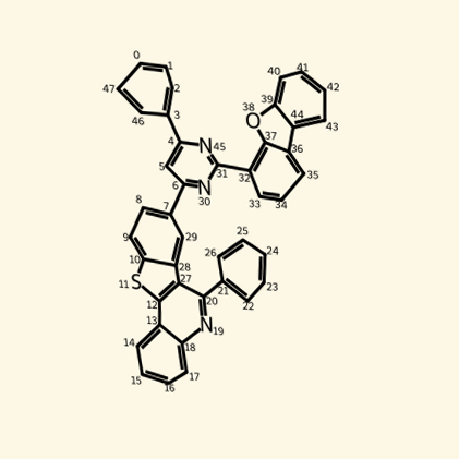 c1ccc(-c2cc(-c3ccc4sc5c6ccccc6nc(-c6ccccc6)c5c4c3)nc(-c3cccc4c3oc3ccccc34)n2)cc1